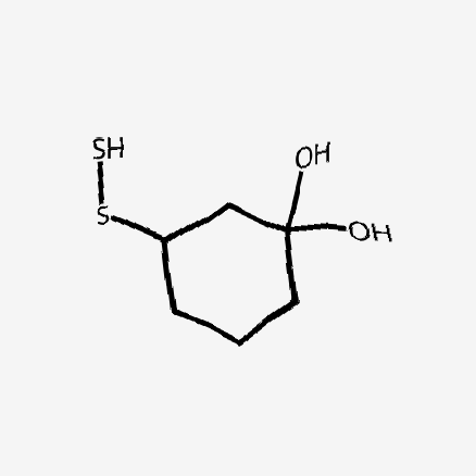 OC1(O)CCCC(SS)C1